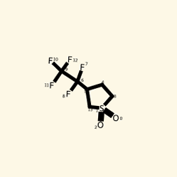 O=S1(=O)CCC(C(F)(F)C(F)(F)F)C1